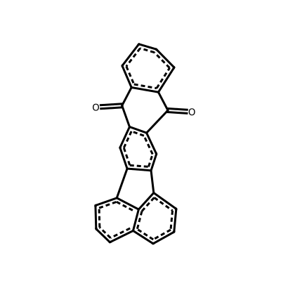 O=C1c2ccccc2C(=O)c2cc3c(cc21)-c1cccc2cccc-3c12